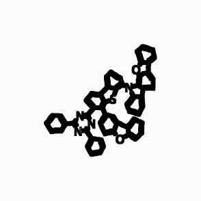 c1ccc(-c2nc(-c3ccccc3)nc(-c3ccc4c(sc5c(-n6c7ccccc7c7ccc8c9ccccc9oc8c76)cccc54)c3-c3ccc4oc5ccccc5c4c3)n2)cc1